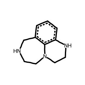 c1cc2c3c(c1)NCCN3CCNC2